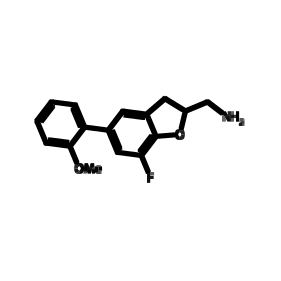 COc1ccccc1-c1cc(F)c2c(c1)CC(CN)O2